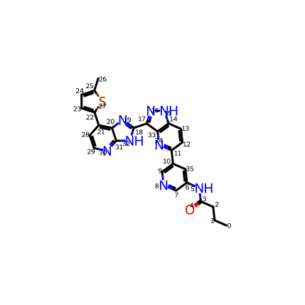 CCCC(=O)Nc1cncc(-c2ccc3[nH]nc(-c4nc5c(-c6ccc(C)s6)ccnc5[nH]4)c3n2)c1